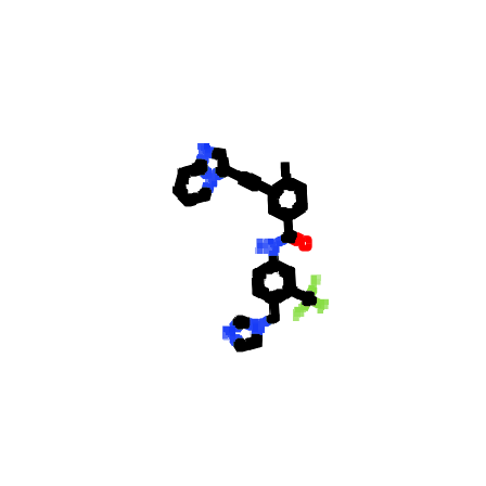 Cc1ccc(C(=O)Nc2ccc(Cn3ccnc3)c(C(F)(F)F)c2)cc1C#Cc1cnc2ccccn12